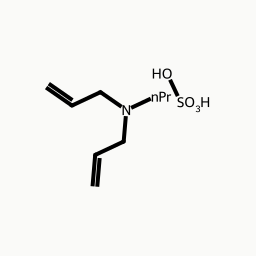 C=CCN(CC=C)CCC.O=S(=O)(O)O